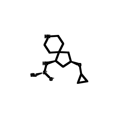 CC(C)(C)[S@@+]([O-])N[C@@H]1C[C@H](OC2CC2)CC12CCNCC2